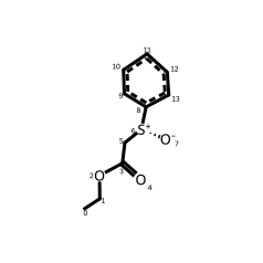 CCOC(=O)C[S@@+]([O-])c1ccccc1